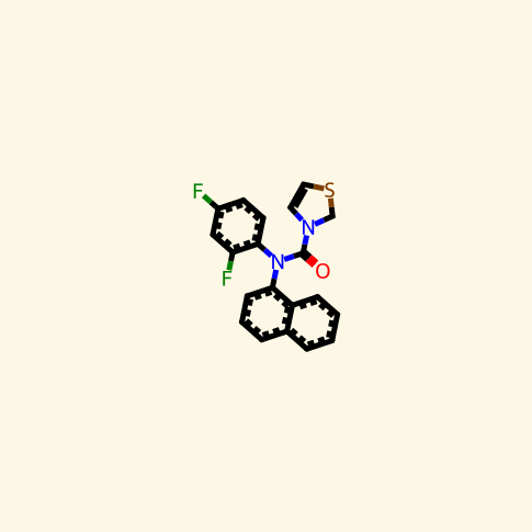 O=C(N1C=CSC1)N(c1ccc(F)cc1F)c1cccc2ccccc12